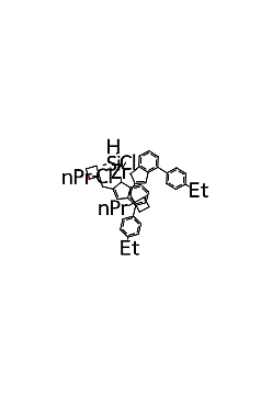 CCCC1(CC2=Cc3c(-c4ccc(CC)cc4)cccc3[CH]2[Zr]([Cl])([Cl])([CH]2C(CC3(CCC)CCC3)=Cc3c(-c4ccc(CC)cc4)cccc32)[SiH](C)C)CCC1